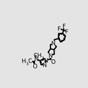 CC(=O)N(C)c1cnn(C(=O)N2CC3CN(Cc4cccc(C(F)(F)F)c4)CC3C2)c1